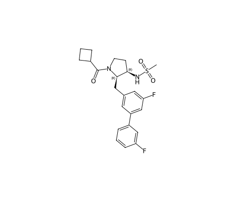 CS(=O)(=O)N[C@@H]1CCN(C(=O)C2CCC2)[C@@H]1Cc1cc(F)cc(-c2cccc(F)c2)c1